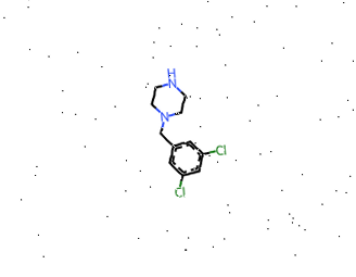 Clc1cc(Cl)cc(CN2CCNCC2)c1